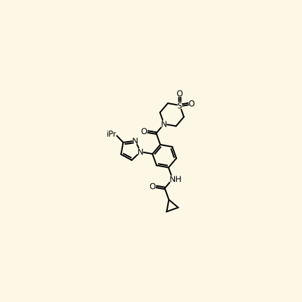 CC(C)c1ccn(-c2cc(NC(=O)C3CC3)ccc2C(=O)N2CCS(=O)(=O)CC2)n1